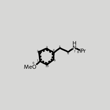 COc1ccc(CCNC(C)C)cc1